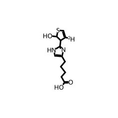 [2H]C1=CSC(O)C1c1nc(CCCCC(=O)O)c[nH]1